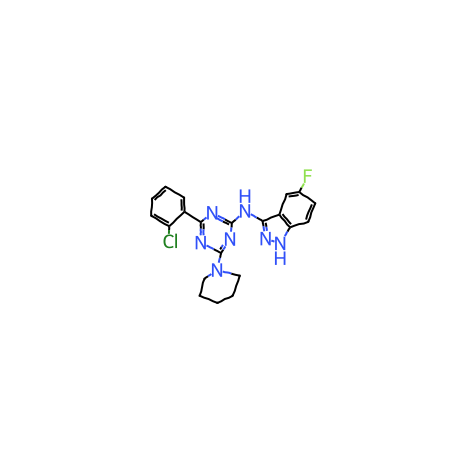 Fc1ccc2[nH]nc(Nc3nc(-c4ccccc4Cl)nc(N4CCCCC4)n3)c2c1